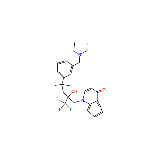 CCN(CC)Cc1cccc(C(C)(C)CC(O)(Cn2ccc(=O)c3ccccc32)C(F)(F)F)c1